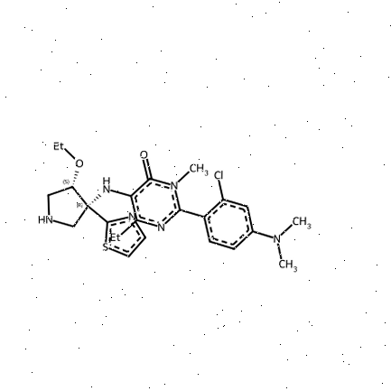 CCO[C@H]1CNC[C@]1(Nc1c(CC)nc(-c2ccc(N(C)C)cc2Cl)n(C)c1=O)c1nccs1